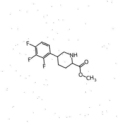 COC(=O)C1CCC(c2ccc(F)c(F)c2F)CN1